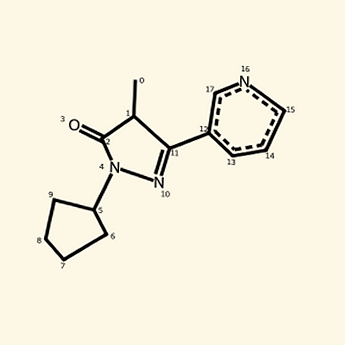 CC1C(=O)N(C2CCCC2)N=C1c1cccnc1